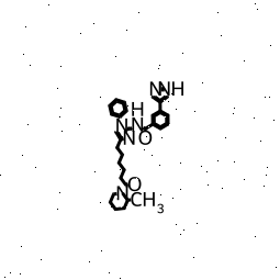 CC1CCCCN1C(=O)CCCCCc1cn(-c2ccccc2)c(NC(=O)c2cccc(-c3cn[nH]c3)c2)n1